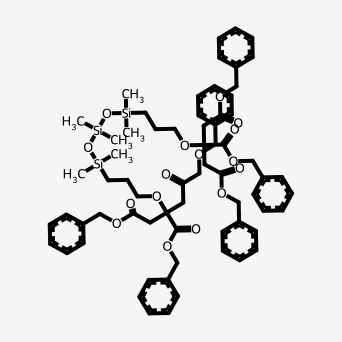 C[Si](C)(CCCOC(CC(=O)COCc1ccccc1)(CC(=O)OCc1ccccc1)C(=O)OCc1ccccc1)O[Si](C)(C)O[Si](C)(C)CCCOC(CC(=O)OCc1ccccc1)(CC(=O)OCc1ccccc1)C(=O)OCc1ccccc1